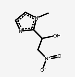 Cn1ccnc1C(O)C[N+](=O)[O-]